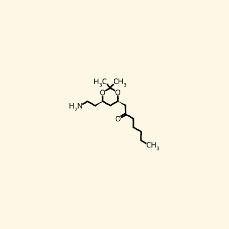 CCCCCC(=O)C[C@H]1C[C@@H](CCN)OC(C)(C)O1